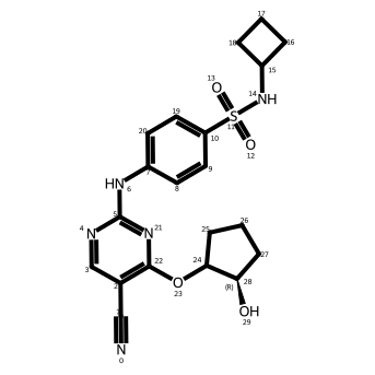 N#Cc1cnc(Nc2ccc(S(=O)(=O)NC3CCC3)cc2)nc1OC1CCC[C@H]1O